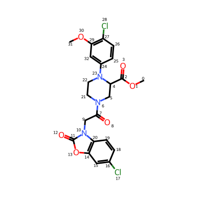 COC(=O)C1CN(C(=O)Cn2c(=O)oc3cc(Cl)ccc32)CCN1c1ccc(Cl)c(OC)c1